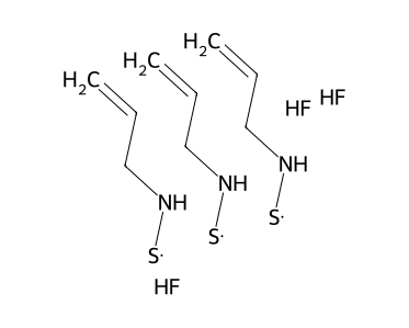 C=CCN[S].C=CCN[S].C=CCN[S].F.F.F